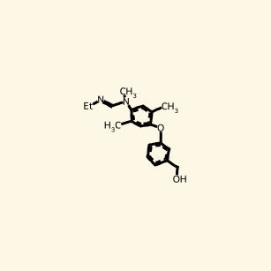 CCN=CN(C)c1cc(C)c(Oc2cccc(CO)c2)cc1C